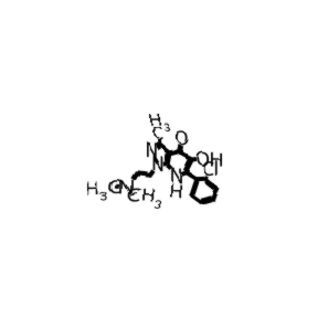 Cc1nn(CCN(C)C)c2[nH]c(-c3ccccc3Cl)c(O)c(=O)c12